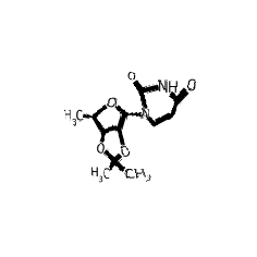 C[C@H]1O[C@@H](n2ccc(=O)[nH]c2=O)C2OC(C)(C)OC21